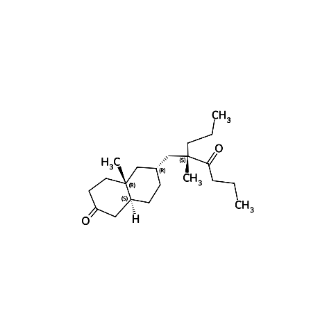 CCCC(=O)[C@@](C)(CCC)C[C@@H]1CC[C@H]2CC(=O)CC[C@]2(C)C1